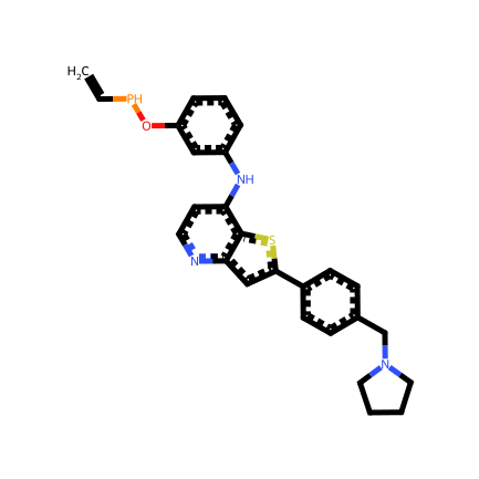 C=CPOc1cccc(Nc2ccnc3cc(-c4ccc(CN5CCCC5)cc4)sc23)c1